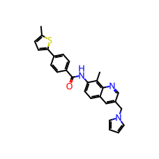 Cc1ccc(-c2ccc(C(=O)Nc3ccc4cc(Cn5cccc5)cnc4c3C)cc2)s1